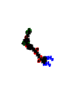 Nc1cc(N)cc(C(=O)OCCCCOC(=O)/C=C/c2ccc(OC(F)(F)c3ccc(OCCCC(F)(F)F)cc3F)cc2)c1